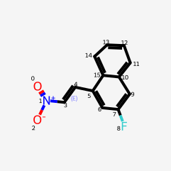 O=[N+]([O-])/C=C/c1cc(F)cc2ccccc12